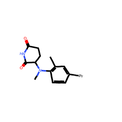 Cc1cc(C(C)C)ccc1N(C)C1CCC(=O)NC1=O